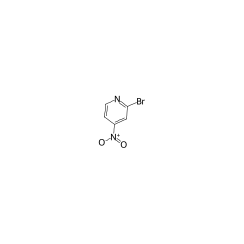 O=[N+]([O-])c1ccnc(Br)c1